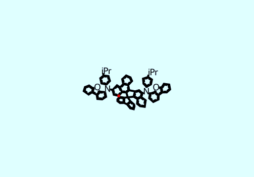 CC(C)c1ccc(N(c2ccc3c4c(c5ccccc5c3c2)-c2cc(N(c3ccc(C(C)C)cc3)c3cccc5c3oc3ccccc35)c3ccccc3c2C42c3ccccc3-c3ccccc32)c2cccc3c2oc2ccccc23)cc1